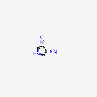 [N].[N].[N].[N].c1cc[nH]c1